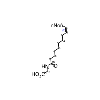 CCCCCCCCC/C=C\CCCCCCCC(=O)NCC(=O)O